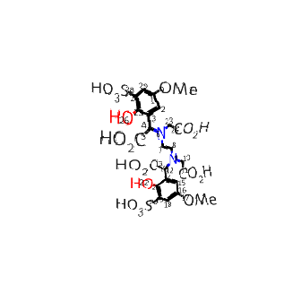 COc1cc(C(C(=O)O)N(CCN(CC(=O)O)[C@H](C(=O)O)c2cc(OC)cc(S(=O)(=O)O)c2O)CC(=O)O)c(O)c(S(=O)(=O)O)c1